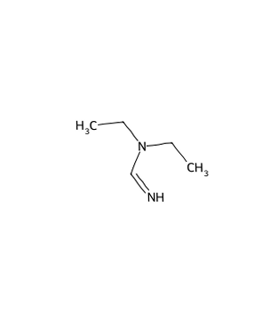 CCN(C=N)CC